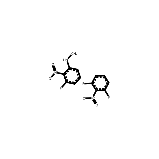 CNc1cccc(F)c1[N+](=O)[O-].O=[N+]([O-])c1c(F)cccc1F